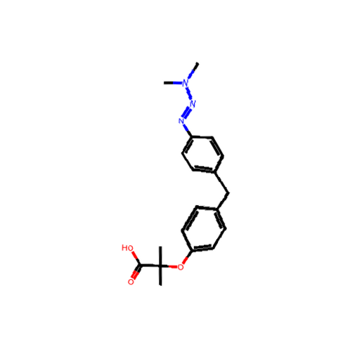 CN(C)N=Nc1ccc(Cc2ccc(OC(C)(C)C(=O)O)cc2)cc1